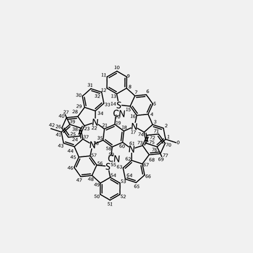 Cc1cc2c3ccc4c5ccccc5sc4c3n(-c3c(C#N)c(-n4c5ccccc5c5ccccc54)c(-n4c5cc(C)c(C)cc5c5ccc6c7ccccc7sc6c54)c(C#N)c3-n3c4ccccc4c4ccccc43)c2cc1C